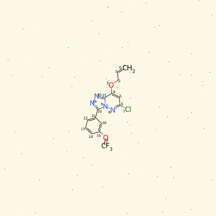 C=CCOc1cc(Cl)nn2c(-c3cccc(OC(F)(F)F)c3)nnc12